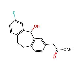 COC(=O)Cc1ccc2c(c1)C(O)c1cc(F)ccc1CC2